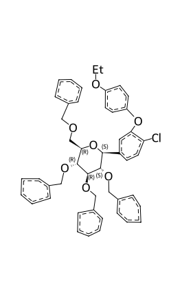 CCOc1ccc(Oc2cc([C@@H]3O[C@H](COCc4ccccc4)[C@@H](OCc4ccccc4)[C@H](OCc4ccccc4)[C@H]3OCc3ccccc3)ccc2Cl)cc1